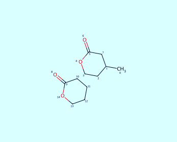 CC1CCOC(=O)C1.O=C1CCCCO1